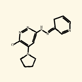 Clc1nnc(NN=C2C=NC=CC2)cc1N1CCCC1